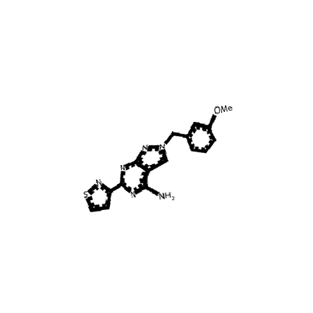 COc1cccc(Cn2cc3c(N)nc(-c4ccsn4)nc3n2)c1